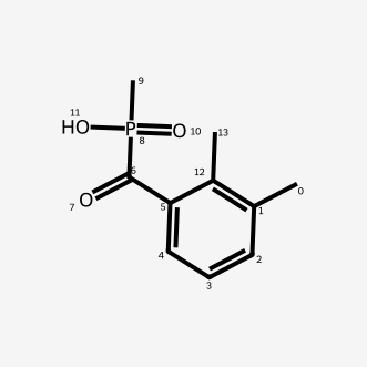 Cc1cccc(C(=O)P(C)(=O)O)c1C